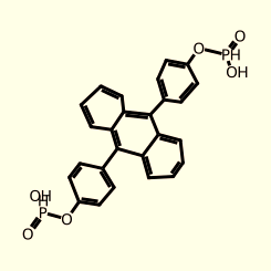 O=[PH](O)Oc1ccc(-c2c3ccccc3c(-c3ccc(O[PH](=O)O)cc3)c3ccccc23)cc1